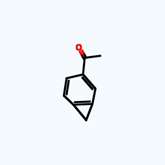 CC(=O)c1ccc2c(c1)C2